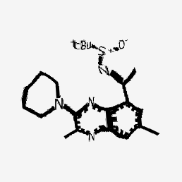 CC(=N[S@+]([O-])C(C)(C)C)c1cc(C)cc2nc(C)c(N3CCCCC3)nc12